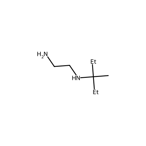 CCC(C)(CC)NCCN